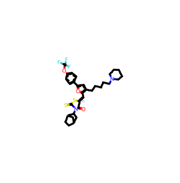 O=C1/C(=C/c2oc(-c3ccc(OC(F)(F)F)cc3)cc2CCCCCN2CCCCC2)SC(=S)N1C1CC2CCC1C2